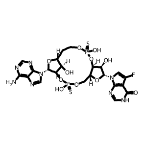 Nc1ncnc2c1ncn2[C@@H]1O[C@@H]2CCOP(O)(=S)O[C@H]3[C@@H](O)[C@H](n4cc(F)c5c(=O)[nH]cnc54)O[C@@H]3COP(O)(=S)O[C@@H]1[C@@H]2O